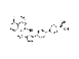 C[C@@H](OC(=O)Nc1c(-c2ccc(-c3ccc(B(O)O)cc3)cc2)ncn1C)c1ccccc1Cl